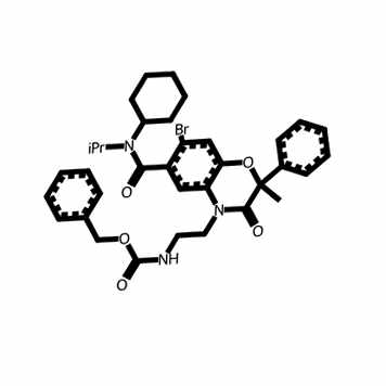 CC(C)N(C(=O)c1cc2c(cc1Br)OC(C)(c1ccccc1)C(=O)N2CCNC(=O)OCc1ccccc1)C1CCCCC1